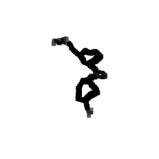 N#C[CH]c1cccc(Oc2cccc(F)c2)c1